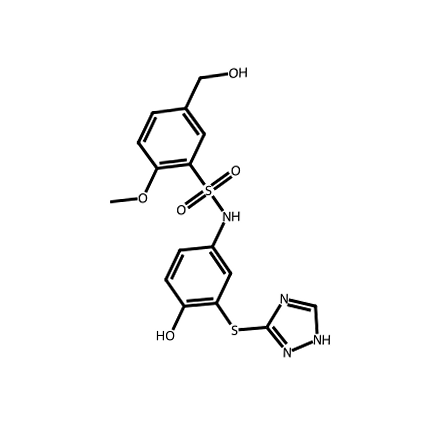 COc1ccc(CO)cc1S(=O)(=O)Nc1ccc(O)c(Sc2nc[nH]n2)c1